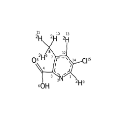 [2H]c1nc(C(=O)O)c(C([2H])([2H])[2H])c([2H])c1Cl